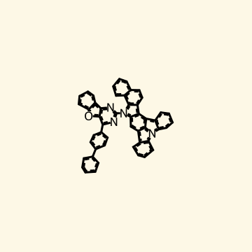 c1ccc(-c2ccc(-c3nc(-n4c5cc6c7ccccc7n7c8ccccc8c(c5c5ccc8ccccc8c54)c67)nc4c3oc3ccccc34)cc2)cc1